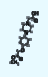 COC(=O)COc1ccc(N2CCN(CC(=O)O)CC2)cc1